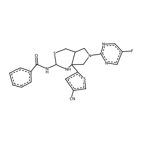 N#Cc1csc(C23CN(c4ncc(F)cn4)CC2CSC(NC(=O)c2ccccc2)N3)c1